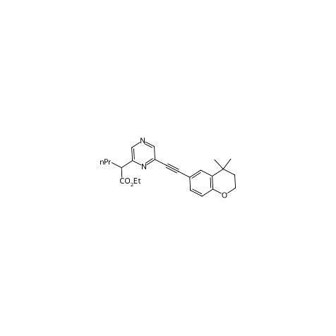 CCCC(C(=O)OCC)c1cncc(C#Cc2ccc3c(c2)C(C)(C)CCO3)n1